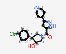 O=C(c1cc(-c2ccncc2)n[nH]1)N1C[C@@H](O)[C@H](c2ccc(Cl)cc2)C1